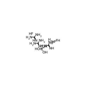 F.F.F.F.N=C(N)N.N=C(N)N.N=C(N)N.OB(O)O